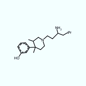 CC(C)CC(N)CCN1CCC(C)(c2cccc(O)c2)C(C)C1